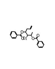 C=CCC(OC(=O)c1ccccc1)C(CC)C(C)OC(=O)c1ccccc1